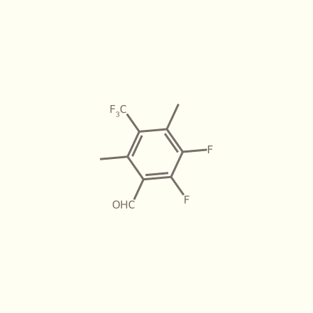 Cc1c(F)c(F)c(C=O)c(C)c1C(F)(F)F